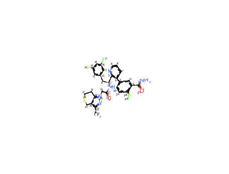 NC(=O)c1cc(-c2cccnc2[C@H](Cc2cc(F)cc(F)c2)NC(=O)Cn2nc(C(F)(F)F)c3c2CCSC3)ccc1F